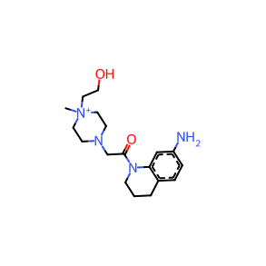 C[N+]1(CCO)CCN(CC(=O)N2CCCc3ccc(N)cc32)CC1